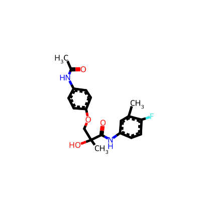 CC(=O)Nc1ccc(OCC(C)(O)C(=O)Nc2ccc(F)c(C)c2)cc1